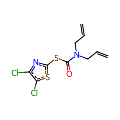 C=CCN(CC=C)C(=O)Sc1nc(Cl)c(Cl)s1